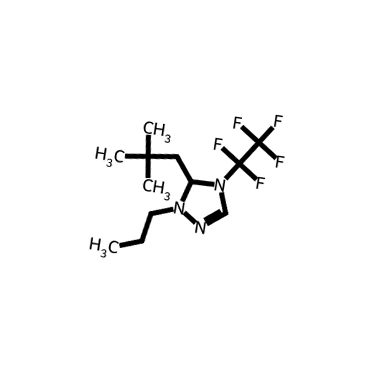 CCCN1N=CN(C(F)(F)C(F)(F)F)C1CC(C)(C)C